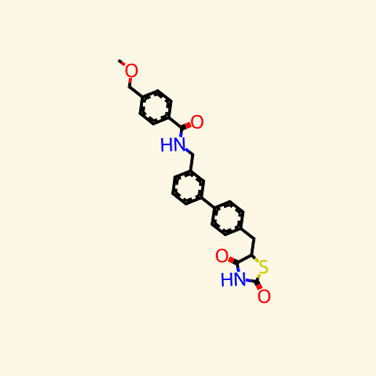 COCc1ccc(C(=O)NCc2cccc(-c3ccc(CC4SC(=O)NC4=O)cc3)c2)cc1